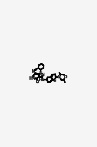 CC1CN(c2ccc3cc(Nc4nn(C5CCCCC5C#N)c5cc[nH]c(=O)c45)ccc3n2)C(C)CO1